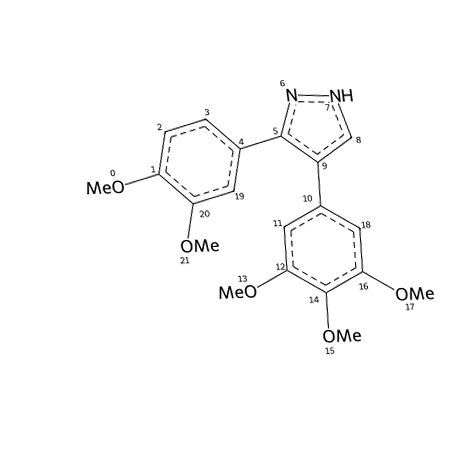 COc1ccc(-c2n[nH]cc2-c2cc(OC)c(OC)c(OC)c2)cc1OC